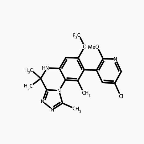 COc1ncc(Cl)cc1-c1c(OC(F)(F)F)cc2c(c1C)-n1c(C)nnc1C(C)(C)N2